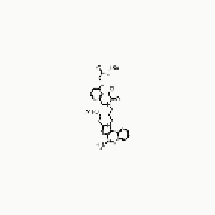 COCCc1nc2c(N)nc3ccccc3c2n1CCCN(Cc1cccc(OCC(=O)OC(C)(C)C)c1)C(=O)CCl